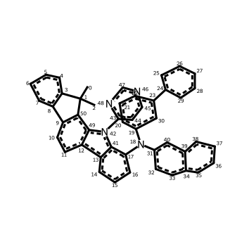 CC1(C)c2ccccc2-c2ccc3c4cccc(N(c5cccc(-c6ccccc6)c5)c5ccc6ccccc6c5)c4n(-c4ccncn4)c3c21